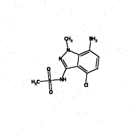 Bc1ccc(Cl)c2c(NS(C)(=O)=O)nn(C)c12